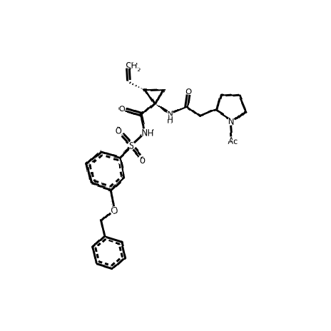 C=C[C@@H]1C[C@]1(NC(=O)CC1CCCN1C(C)=O)C(=O)NS(=O)(=O)c1cccc(OCc2ccccc2)c1